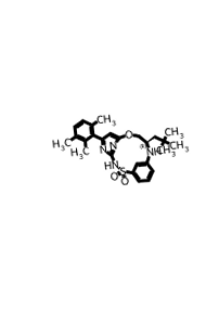 Cc1ccc(C)c(-c2cc3nc(n2)NS(=O)(=O)c2cccc(c2)N[C@H](CC(C)(C)C)CO3)c1C